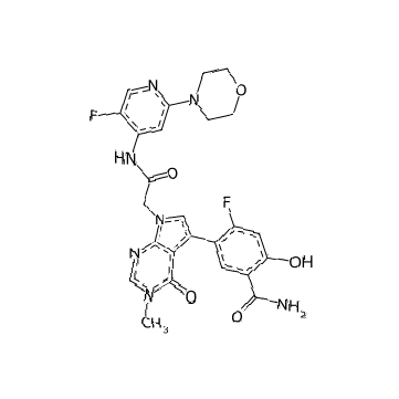 Cn1cnc2c(c(-c3cc(C(N)=O)c(O)cc3F)cn2CC(=O)Nc2cc(N3CCOCC3)ncc2F)c1=O